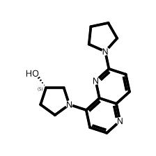 O[C@H]1CCN(c2ccnc3ccc(N4CCCC4)nc23)C1